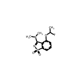 CC(F)Oc1cccc2c1C(N(C)C)=NS2(=O)=O